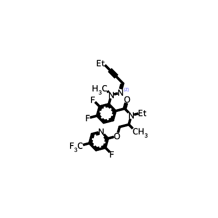 CCC#C/C=N\N(C)c1c(C(=O)N(CC)C(C)COc2ncc(C(F)(F)F)cc2F)ccc(F)c1F